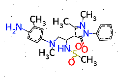 Cc1cc(N(C)CC(NS(C)(=O)=O)c2c(C)n(C)n(-c3ccccc3)c2=O)ccc1N